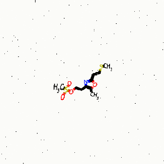 CSCCc1nc(CCOS(C)(=O)=O)c(C)o1